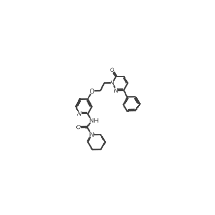 O=C(Nc1cc(OCCn2nc(-c3ccccc3)ccc2=O)ccn1)N1CCCCC1